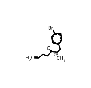 C=CCCC(=O)[C@@H](C)Cc1ccc(Br)cc1